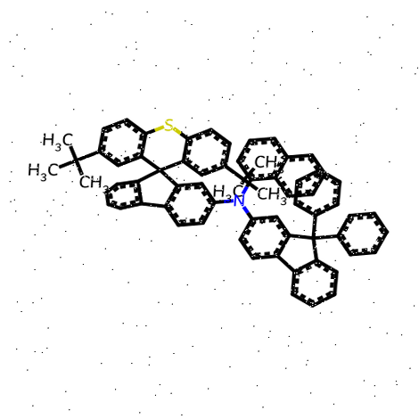 CC(C)(C)c1ccc2c(c1)C1(c3cc(C(C)(C)C)ccc3S2)c2ccccc2-c2ccc(N(c3ccc4c(c3)C(c3ccccc3)(c3ccccc3)c3ccccc3-4)c3cccc4ccccc34)cc21